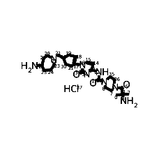 CC(C)(N)C(=O)N1CCN(C(=O)Nc2ccn(C3=CCC(CN4CCCC(N)CC4)CC3)c(=O)n2)CC1.Cl